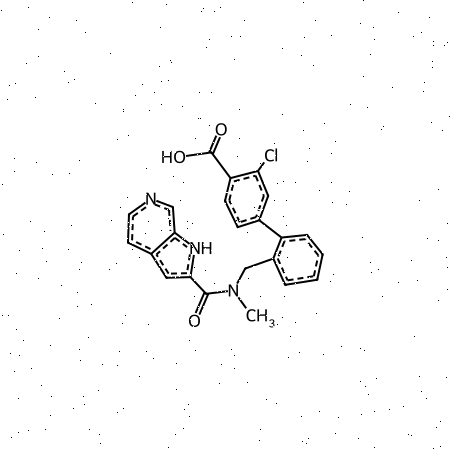 CN(Cc1ccccc1-c1ccc(C(=O)O)c(Cl)c1)C(=O)c1cc2ccncc2[nH]1